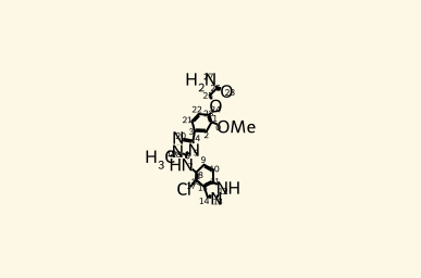 COc1cc(-c2nc(Nc3ccc4[nH]ncc4c3Cl)n(C)n2)ccc1OCC(N)=O